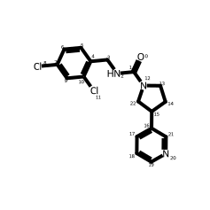 O=C(NCc1ccc(Cl)cc1Cl)N1CCC(c2cccnc2)C1